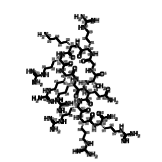 C[C@H](N)C(=O)NCC(=O)N[C@@H](CCCNC(=N)N)C(=O)N[C@@H](CCCCN)C(=O)N[C@@H](CCCNC(=N)N)C(=O)N[C@@H](CCCNC(=N)N)C(=O)N[C@@H](CCCNC(=N)N)C(=O)N[C@@H](CCC(N)=O)C(=O)N[C@@H](CCCNC(=N)N)C(=O)N[C@@H](CCCNC(=N)N)C(=O)N[C@@H](CCCNC(=N)N)C(N)=O